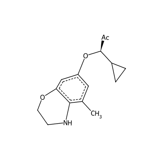 CC(=O)[C@H](Oc1cc(C)c2c(c1)OCCN2)C1CC1